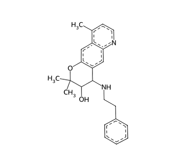 Cc1ccnc2cc3c(cc12)OC(C)(C)C(O)C3NCCc1ccccc1